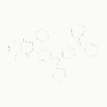 CCc1cccc2nc(-c3ccccc3)c(-c3ccc(N(c4ccccc4)c4ccc(N(c5ccccc5)c5ccccc5)cc4)cc3)nc12